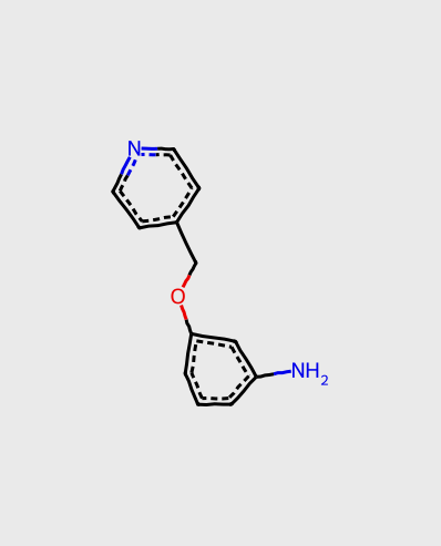 Nc1cccc(OCc2ccncc2)c1